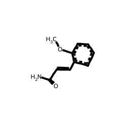 COc1ccccc1C=CC(N)=O